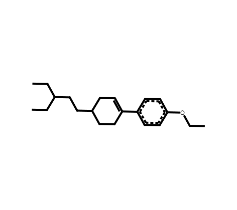 CCOc1ccc(C2=CCC(CCC(CC)CC)CC2)cc1